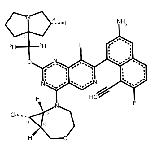 [2H]C([2H])(Oc1nc(N2CCOC[C@@H]3[C@H](Cl)[C@@H]32)c2cnc(-c3cc(N)cc4ccc(F)c(C#C)c34)c(F)c2n1)[C@@]12CCCN1C[C@H](F)C2